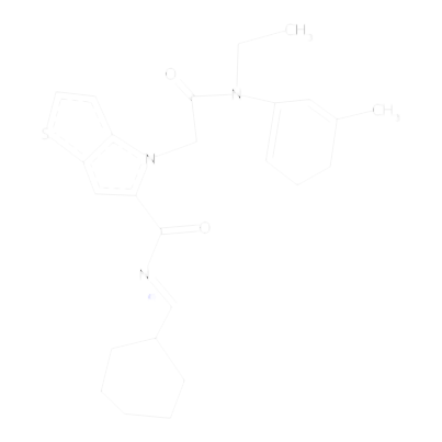 CCN(C(=O)Cn1c(C(=O)/N=C/C2CCCCC2)cc2sccc21)C1=CCCC(C)=C1